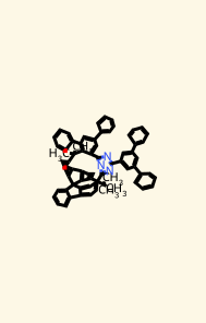 CC(C)(C)c1ccc2c(c1)C13c4ccccc4-c4ccc(cc41)-c1nc(-c4cc(-c5ccccc5)cc(-c5ccccc5)c4)nc(n1)-c1cc(-c4ccccc4)cc(-c4ccccc4)c1C(C)(C)c1ccc-2c3c1